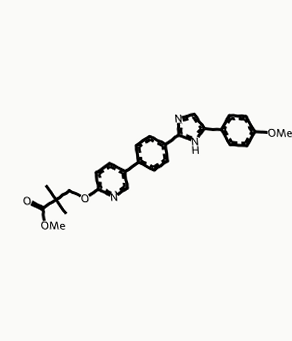 COC(=O)C(C)(C)COc1ccc(-c2ccc(-c3ncc(-c4ccc(OC)cc4)[nH]3)cc2)cn1